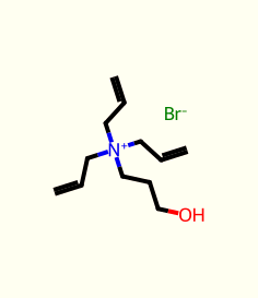 C=CC[N+](CC=C)(CC=C)CCCO.[Br-]